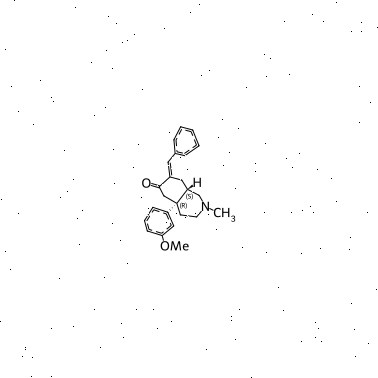 COc1cccc([C@@]23CCN(C)C[C@H]2CC(=Cc2ccccc2)C(=O)C3)c1